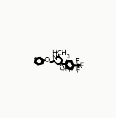 CC1CC(O)(c2ccc(C(F)(F)F)cc2)CC(COc2ccccc2)N1